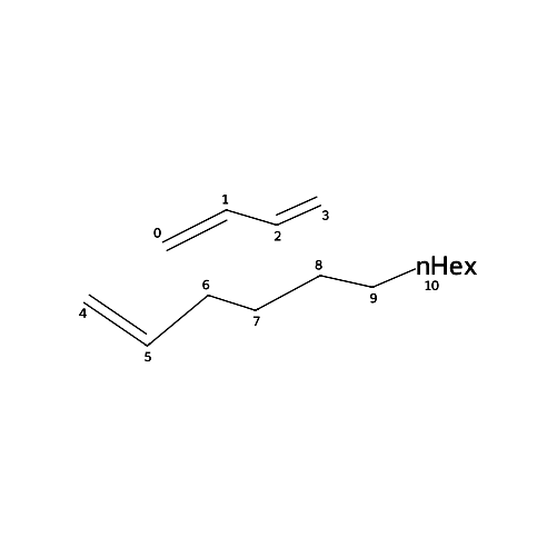 C=CC=C.C=CCCCCCCCCCC